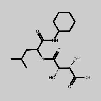 CC(C)C[C@H](NC(=O)[C@@H](O)[C@H](O)C(=O)O)C(=O)NC1CCCCC1